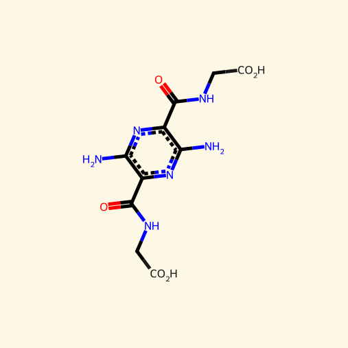 Nc1nc(C(=O)NCC(=O)O)c(N)nc1C(=O)NCC(=O)O